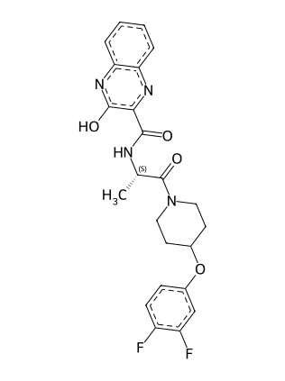 C[C@H](NC(=O)c1nc2ccccc2nc1O)C(=O)N1CCC(Oc2ccc(F)c(F)c2)CC1